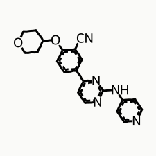 N#Cc1cc(-c2ccnc(Nc3ccncc3)n2)ccc1OC1CCOCC1